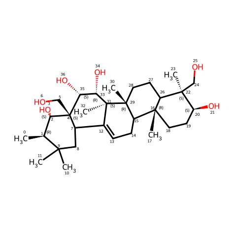 C[C@H]1[C@H](O)[C@@]2(CO)C(CC1(C)C)C1=CCC3[C@@]4(C)CC[C@H](O)[C@](C)(CO)C4CC[C@@]3(C)[C@]1(C)[C@@H](O)[C@H]2O